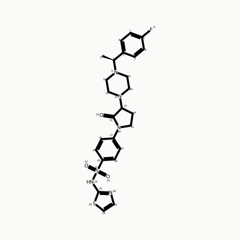 C[C@@H](c1ccc(F)cc1)N1CCN(C2CCN(c3ccc(S(=O)(=O)Nc4nccs4)cc3)C2=O)CC1